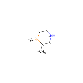 CCP1CCNCC1C